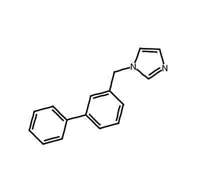 c1ccc(-c2cccc(Cn3ccnc3)c2)cc1